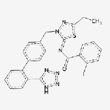 CCc1nn(Cc2ccc(-c3ccccc3-c3nnn[nH]3)cc2)c(=NC(=O)c2ccccc2I)s1